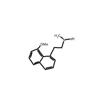 CCCN(C)CCc1cccc2cccc(OC)c12